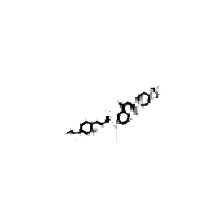 CCOc1ccc(/C=C/C(=O)Nc2ccc3nc(N4CCC(N(C)C)CC4)cc(C)c3c2)c(Cl)c1